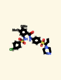 C=CC(N1CCNCC1)S(=O)(=O)c1ccc(NC(=O)c2cc(OC)c(OC)cc2NS(=O)(=O)c2ccc(Cl)cc2)cc1